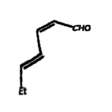 CCC=C/C=C\C=O